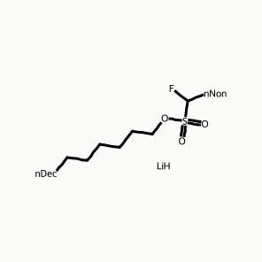 CCCCCCCCCCCCCCCCOS(=O)(=O)C(F)CCCCCCCCC.[LiH]